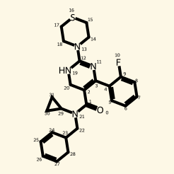 O=C(C1=C(c2ccccc2F)N=C(N2CCSCC2)NC1)N(CC1C=CC=CC1)C1CC1